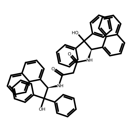 O=C(CC(=O)N[C@H](c1cccc2ccccc12)C(O)(c1ccccc1)c1ccccc1)N[C@H](c1cccc2ccccc12)C(O)(c1ccccc1)c1ccccc1